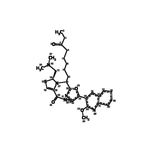 CCC(=O)CCCCCC(c1ncc(-c2cc3ccccc3nc2OC)o1)N1C(C(N)=O)=CS[C@H]1CN(C)C